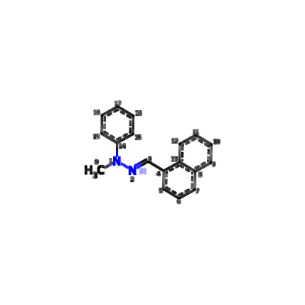 CN(/N=C/c1cccc2ccccc12)c1ccccc1